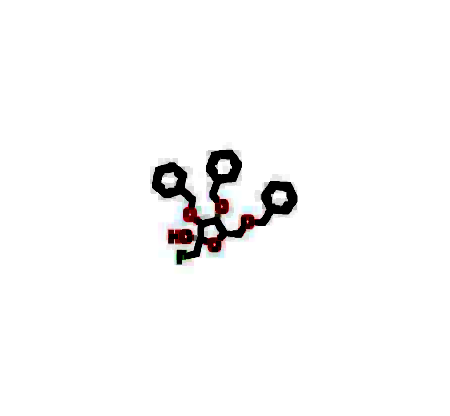 O[C@@]1(CF)O[C@H](COCc2ccccc2)[C@@H](OCc2ccccc2)[C@@H]1OCc1ccccc1